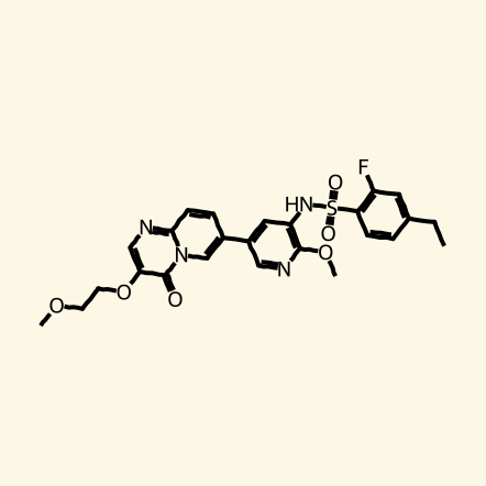 CCc1ccc(S(=O)(=O)Nc2cc(-c3ccc4ncc(OCCOC)c(=O)n4c3)cnc2OC)c(F)c1